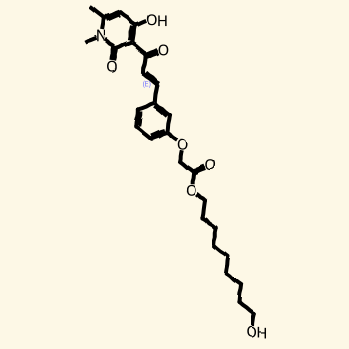 Cc1cc(O)c(C(=O)/C=C/c2cccc(OCC(=O)OCCCCCCCCCO)c2)c(=O)n1C